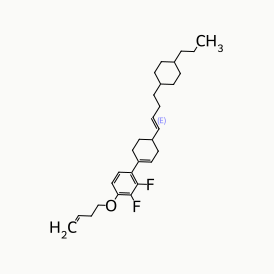 C=CCCOc1ccc(C2=CCC(/C=C/CCC3CCC(CCC)CC3)CC2)c(F)c1F